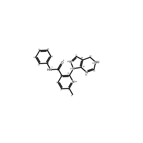 Cc1ccc(C(=O)Nc2ccccc2)c(-n2ncc3c2N=CNC3)n1